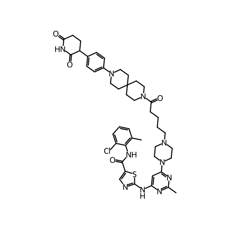 Cc1nc(Nc2ncc(C(=O)Nc3c(C)cccc3Cl)s2)cc(N2CCN(CCCCC(=O)N3CCC4(CC3)CCN(c3ccc(C5CCC(=O)NC5=O)cc3)CC4)CC2)n1